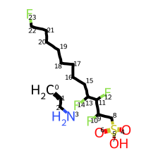 C=CCN.O=S(=O)(O)CC(F)C(F)C(F)CCCCCCCCF